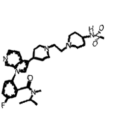 CC(C)N(C)C(=O)c1cc(F)ccc1-n1cc(C2CCN(CCN3CCC(NS(C)(=O)=O)CC3)CC2)c2ccncc21